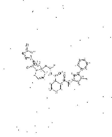 CCc1nnc(NC(=O)C2CC=CCC2(CC(C)OC(=O)C2CCCCC2C(=O)Nc2nc(-c3ccccc3)c(C)s2)C(=O)O)s1